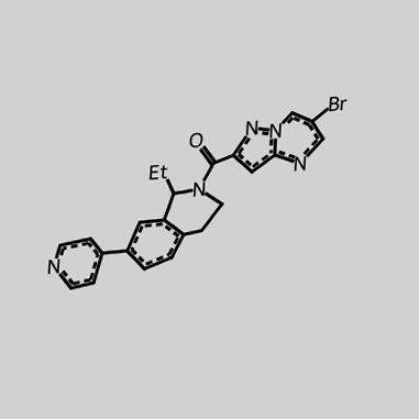 CCC1c2cc(-c3ccncc3)ccc2CCN1C(=O)c1cc2ncc(Br)cn2n1